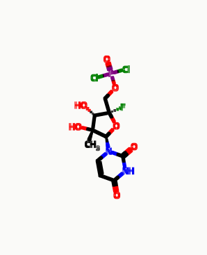 C[C@]1(O)[C@H](n2ccc(=O)[nH]c2=O)O[C@](F)(COP(=O)(Cl)Cl)[C@H]1O